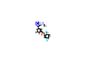 N#Cc1[nH]nnc1-c1cccc(COc2cc(F)ccc2F)c1